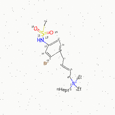 CCCCCCC[N+](CC)(CC)CC=CCc1ccc(NS(C)(=O)=O)cc1.[Br-]